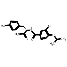 CC(C)Oc1ccc(C(=O)N[C@@H](Cc2ccc(O)cc2)C(N)=O)cc1Cl